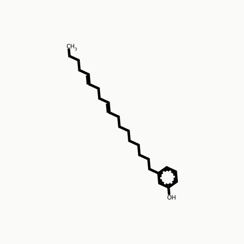 CCCCC=CCCC=CCCCCCCCCc1cccc(O)c1